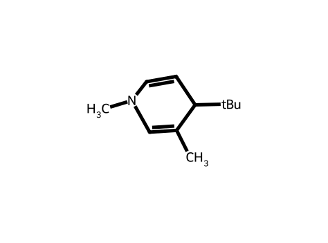 CC1=CN(C)C=CC1C(C)(C)C